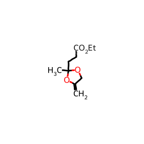 C=C1COC(C)(CCC(=O)OCC)O1